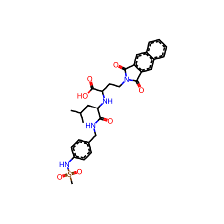 CC(C)C[C@@H](NC(CCN1C(=O)c2cc3ccccc3cc2C1=O)C(=O)O)C(=O)NCc1ccc(NS(C)(=O)=O)cc1